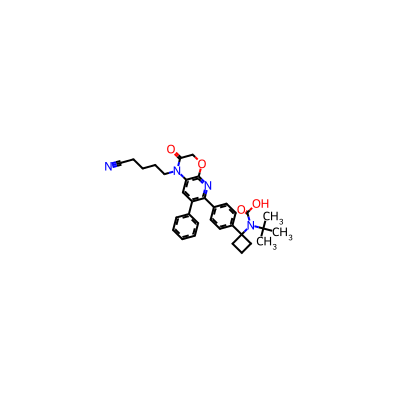 CC(C)(C)N(C(=O)O)C1(c2ccc(-c3nc4c(cc3-c3ccccc3)N(CCCCC#N)C(=O)CO4)cc2)CCC1